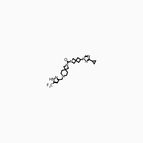 O=C(N1CC2(CCN(Cc3cc(C(F)(F)F)[nH]n3)CC2)C1)N1CC2(CC(n3cnc(C4CC4)n3)C2)C1